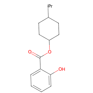 CC(C)C1CCC(OC(=O)c2ccccc2O)CC1